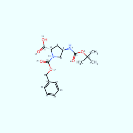 CC(C)(C)OC(=O)N[C@@H]1C[C@@H](C(=O)O)N(C(=O)OCc2ccccc2)C1